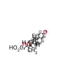 C=C(CCC(=O)O)[C@]1(O)CC[C@H]2[C@@H]3CCC4=CC(=O)CCC4=C3[C@@H](CC)C[C@@]21C